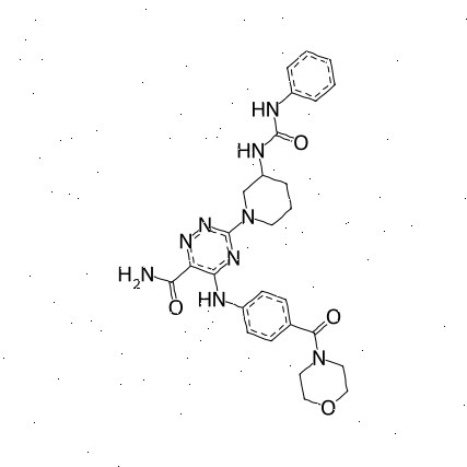 NC(=O)c1nnc(N2CCCC(NC(=O)Nc3ccccc3)C2)nc1Nc1ccc(C(=O)N2CCOCC2)cc1